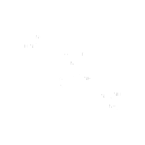 N=C(N)c1ccc(CC(CN(C(=O)C(F)(F)F)C(C(=O)NCC2CCN(C(=N)N)CC2)C2CCCCC2)c2ccccc2OC(F)(F)F)cc1